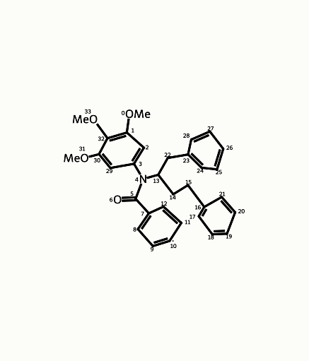 COc1cc(N(C(=O)c2cc[c]cc2)C(CCc2ccccc2)Cc2ccccc2)cc(OC)c1OC